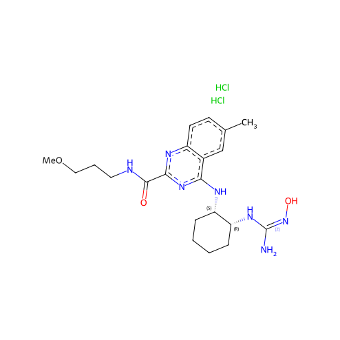 COCCCNC(=O)c1nc(N[C@H]2CCCC[C@H]2N/C(N)=N\O)c2cc(C)ccc2n1.Cl.Cl